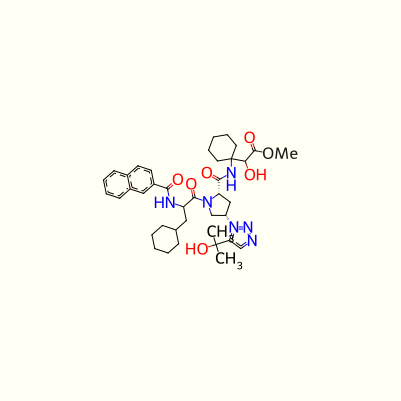 COC(=O)C(O)C1(NC(=O)[C@@H]2C[C@H](n3nncc3C(C)(C)O)CN2C(=O)C(CC2CCCCC2)NC(=O)c2ccc3ccccc3c2)CCCCC1